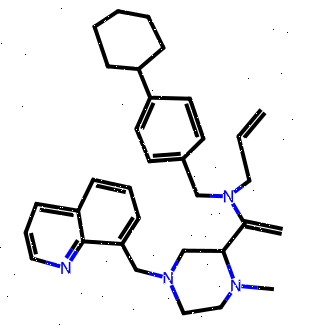 C=CCN(Cc1ccc(C2CCCCC2)cc1)C(=C)C1CN(Cc2cccc3cccnc23)CCN1C